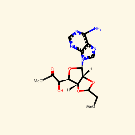 COCC1O[C@@H]2[C@H](O1)[C@@H](C(O)C(=O)OC)O[C@H]2n1cnc2c(N)ncnc21